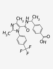 Cc1nc(C)n(-c2ccc(C(F)(F)F)cc2)c1C(=O)NC(C)c1ccc(C(=O)O)cc1